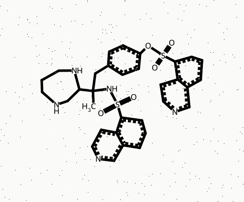 CC(Cc1ccc(OS(=O)(=O)c2cccc3cnccc23)cc1)(NS(=O)(=O)c1cccc2cnccc12)C1CNCCCN1